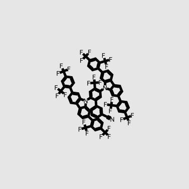 N#Cc1cccc(-c2cc(-n3c4cc(-c5ccc(C(F)(F)F)cc5C(F)(F)F)ccc4c4ccc(-c5ccc(C(F)(F)F)cc5C(F)(F)F)cc43)c(C(F)(F)F)cc2-n2c3cc(-c4ccc(C(F)(F)F)cc4C(F)(F)F)ccc3c3ccc(-c4ccc(C(F)(F)F)cc4C(F)(F)F)cc32)c1